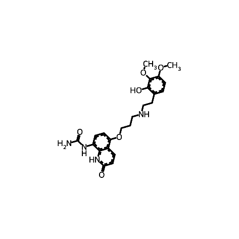 COc1ccc(CCNCCCOc2ccc(NC(N)=O)c3[nH]c(=O)ccc23)c(O)c1OC